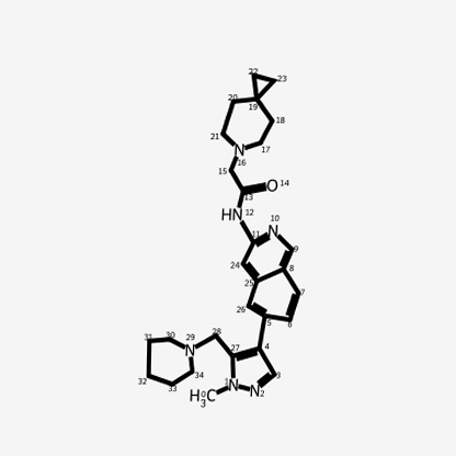 Cn1ncc(-c2ccc3cnc(NC(=O)CN4CCC5(CC4)CC5)cc3c2)c1CN1CCCCC1